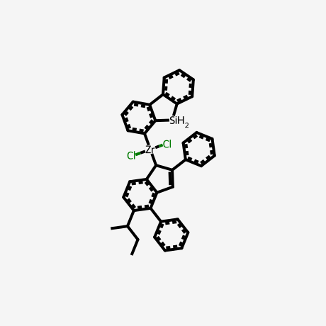 CCC(C)c1ccc2c(c1-c1ccccc1)C=C(c1ccccc1)[CH]2[Zr]([Cl])([Cl])[c]1cccc2c1[SiH2]c1ccccc1-2